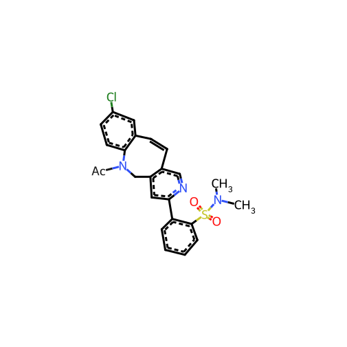 CC(=O)N1Cc2cc(-c3ccccc3S(=O)(=O)N(C)C)ncc2/C=C\c2cc(Cl)ccc21